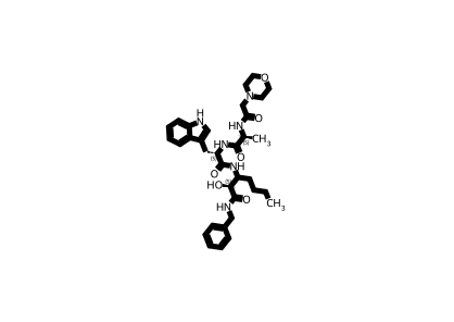 CCCCC(NC(=O)[C@H](Cc1c[nH]c2ccccc12)NC(=O)[C@H](C)NC(=O)CN1CCOCC1)[C@H](O)C(=O)NCc1ccccc1